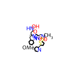 COc1ccc(C[C@@H](CC(=O)NO)n2cc(CN(C)S(=O)(=O)c3ccc(-c4ccccn4)s3)nn2)cc1